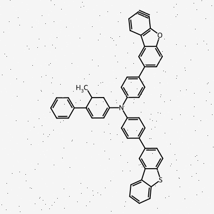 CC1CC(N(c2ccc(-c3ccc4oc5c#cccc5c4c3)cc2)c2ccc(-c3ccc4sc5ccccc5c4c3)cc2)=CC=C1c1ccccc1